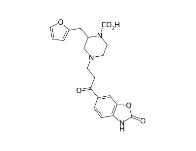 O=C(CCN1CCN(C(=O)O)C(Cc2ccco2)C1)c1ccc2[nH]c(=O)oc2c1